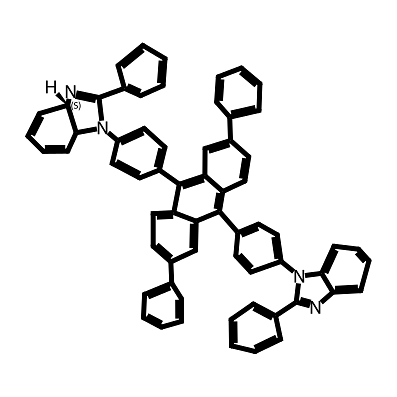 C1=CC2[C@H](C=C1)N=C(c1ccccc1)N2c1ccc(-c2c3ccc(-c4ccccc4)cc3c(-c3ccc(-n4c(-c5ccccc5)nc5ccccc54)cc3)c3ccc(-c4ccccc4)cc23)cc1